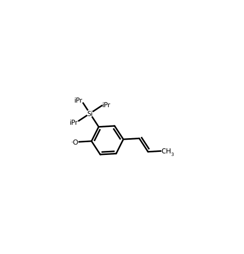 C/C=C/c1ccc([O])c([Si](C(C)C)(C(C)C)C(C)C)c1